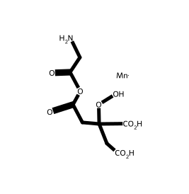 NCC(=O)OC(=O)CC(CC(=O)O)(OO)C(=O)O.[Mn]